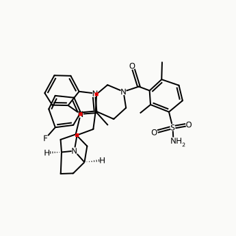 Cc1ccc(S(N)(=O)=O)c(C)c1C(=O)N1CCC(CCN2[C@@H]3CC[C@H]2CC(n2c(C)nc4ccccc42)C3)(c2cccc(F)c2)CC1